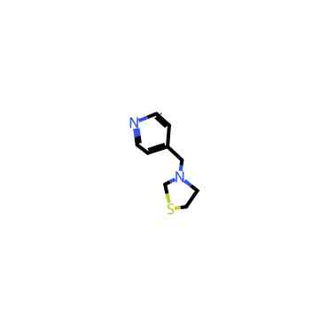 [c]1cc(CN2CCSC2)ccn1